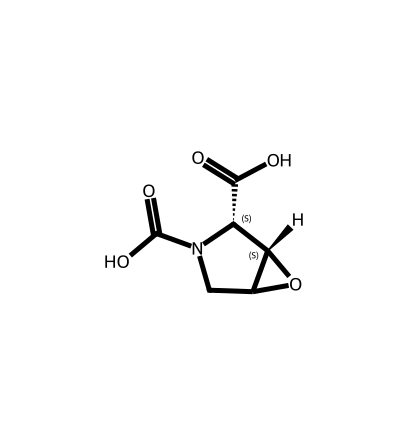 O=C(O)[C@@H]1[C@@H]2OC2CN1C(=O)O